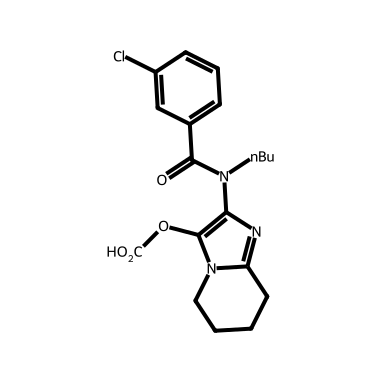 CCCCN(C(=O)c1cccc(Cl)c1)c1nc2n(c1OC(=O)O)CCCC2